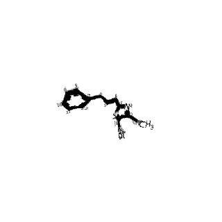 Cc1nc(C=CCc2ccccc2)sc1Br